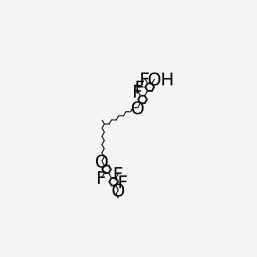 CCOc1ccc(-c2ccc(OCCCCCCCCC(C)CCCCCCCCOc3ccc(-c4ccc(O)c(F)c4F)c(F)c3)cc2F)c(F)c1F